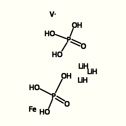 O=P(O)(O)O.O=P(O)(O)O.[Fe].[LiH].[LiH].[LiH].[V]